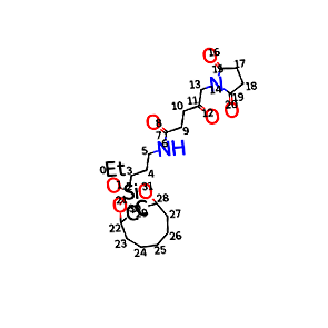 CCO[Si]1(CCCNC(=O)CCC(=O)CN2C(=O)CCC2=O)OC2CCCCCC(CC2)O1